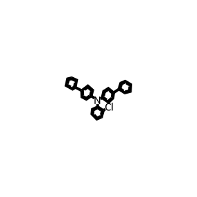 Clc1ccccc1N(c1ccc(-c2ccccc2)cc1)c1ccc(-c2ccccc2)cc1